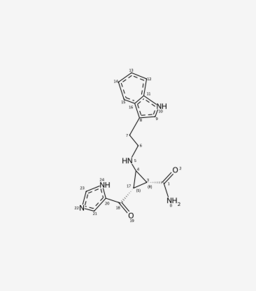 NC(=O)[C@H]1C(NCCc2c[nH]c3ccccc23)[C@H]1C(=O)c1cnc[nH]1